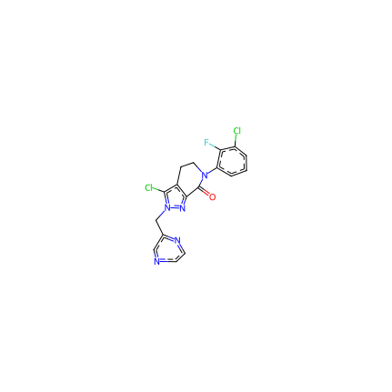 O=C1c2nn(Cc3cnccn3)c(Cl)c2CCN1c1cccc(Cl)c1F